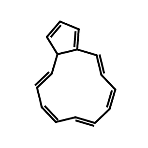 C1=CC2/C=C/C=C\C=C\C=C/C=C/C2=C1